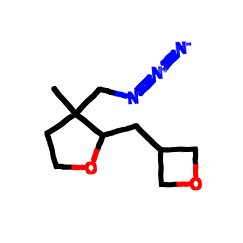 CC1(CN=[N+]=[N-])CCOC1CC1COC1